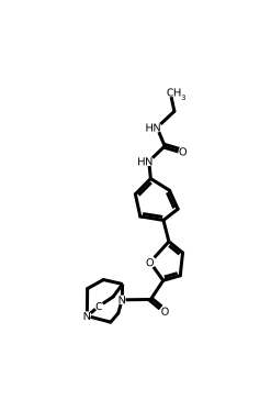 CCNC(=O)Nc1ccc(-c2ccc(C(=O)N3CCN4CCC3CC4)o2)cc1